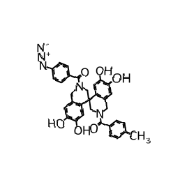 Cc1ccc(C(=O)N2Cc3cc(O)c(O)cc3C3(C2)CN(C(=O)c2ccc(N=[N+]=[N-])cc2)Cc2cc(O)c(O)cc23)cc1